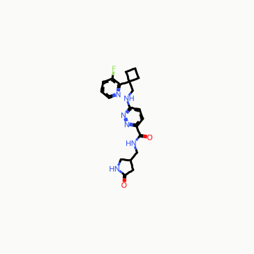 O=C1CC(CNC(=O)c2ccc(NCC3(c4ncccc4F)CCC3)nn2)CN1